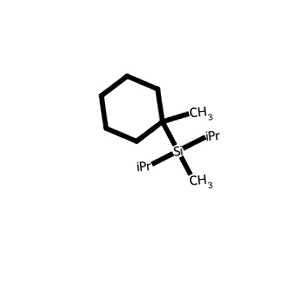 CC(C)[Si](C)(C(C)C)C1(C)CCCCC1